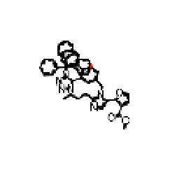 CCCCc1ncc(-c2occc2C(=O)OC)n1Cc1ccc(-c2ccccc2)c(-c2nnnn2C(c2ccccc2)(c2ccccc2)c2ccccc2)c1